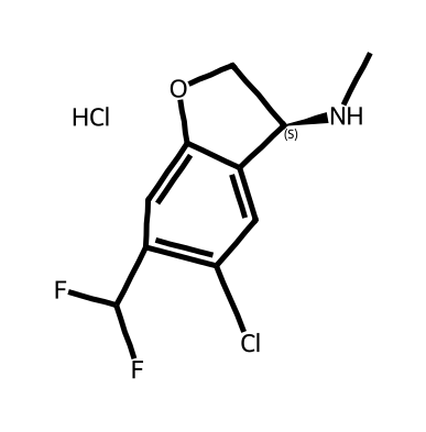 CN[C@@H]1COc2cc(C(F)F)c(Cl)cc21.Cl